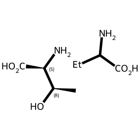 CCC(N)C(=O)O.C[C@@H](O)[C@H](N)C(=O)O